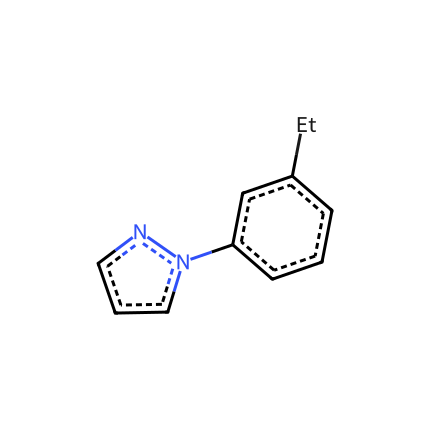 CCc1cccc(-n2cccn2)c1